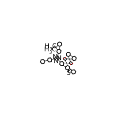 CC1(C)c2ccccc2-c2ccc(-c3nc(-c4ccc(-c5ccccc5)cc4)nc(-c4ccc5c(c4)C4(c6cc7c(cc6-5)sc5ccccc57)c5ccccc5C5(c6ccccc6-c6ccccc65)c5ccccc54)n3)cc21